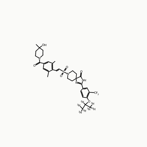 [2H]C([2H])([2H])C([2H])(Oc1ccc(C2=NC3(CCN(S(=O)(=O)/C=C/c4c(C)cc(C(=O)N5CCC(C)(O)CC5)cc4C)CC3)C(=O)N2)cc1C(F)(F)F)C([2H])([2H])[2H]